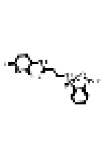 O=C1CCC(NC(=O)CCNS(=O)(=O)c2ccccc2[N+](=O)[O-])C(=O)N1